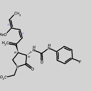 C=C(/C=C\C(=C/C)OC)[C@@H]1CN(CC(=O)O)C(=O)[C@H]1NC(=O)Nc1ccc(F)cc1